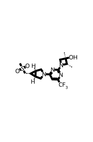 C[C@@H]1N(c2nc(N3C[C@@H]4[C@H](C3)[C@H]4CS(C)(=O)=O)cc(C(F)(F)F)n2)C[C@@]1(C)O